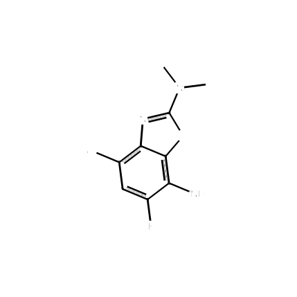 CN(C)c1nc2c(Cl)cc(F)c(N)c2s1